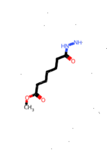 COC(=O)CCCCCC(=O)N[NH]